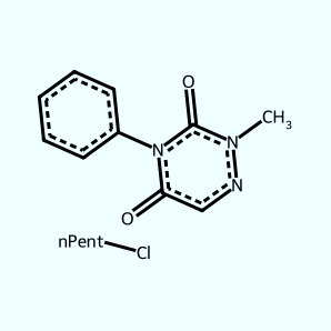 CCCCCCl.Cn1ncc(=O)n(-c2ccccc2)c1=O